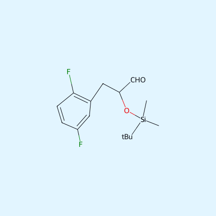 CC(C)(C)[Si](C)(C)OC(C=O)Cc1cc(F)ccc1F